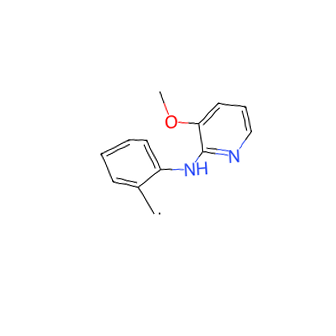 [CH2]c1ccccc1Nc1ncccc1OC